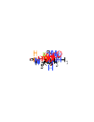 CC(C)C[C@H](NC(=O)[C@H](CCc1ccccc1)NC(=O)CN1CCOCC1)C(=O)N[C@@H](Cc1ccccc1)C(=O)N[C@@H](CC(C)C)C(=O)C(C)(O)COS(=O)(=O)c1ccc(OCc2cn(PCc3ccccc3)nn2)cc1F